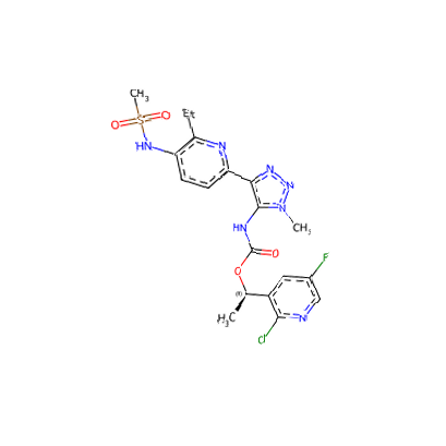 CCc1nc(-c2nnn(C)c2NC(=O)O[C@H](C)c2cc(F)cnc2Cl)ccc1NS(C)(=O)=O